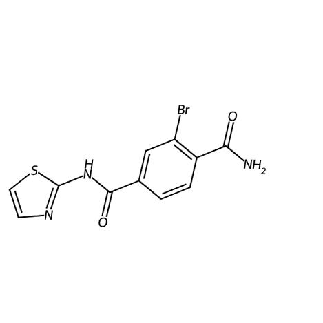 NC(=O)c1ccc(C(=O)Nc2nccs2)cc1Br